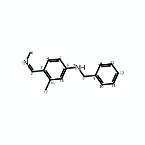 C/N=C\c1ccc(NCc2ccccc2)cc1C